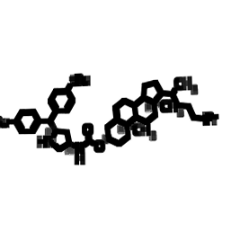 CC(C)CCCC(C)C1CCC2C3CC=C4C[C@@H](OC(=O)N[C@H]5CN[C@@H](C(c6ccc(C(C)(C)C)cc6)c6ccc(C(C)(C)C)cc6)C5)CC[C@]4(C)C3CC[C@]12C